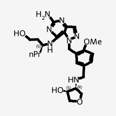 CCC[C@@H](CCO)Nc1nc(N)nc2cnn(Cc3cc(CN[C@@H]4COC[C@H]4O)ccc3OC)c12